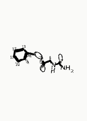 NC(=O)NCC(=O)Oc1ccccc1